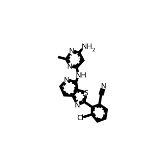 Cc1nc(N)cc(Nc2nccc3nc(-c4c(Cl)cccc4C#N)sc23)n1